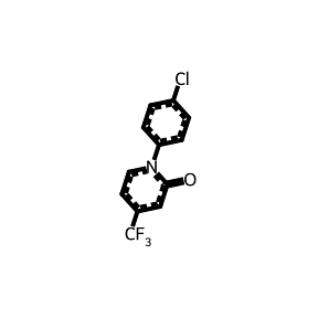 O=c1cc(C(F)(F)F)ccn1-c1ccc(Cl)cc1